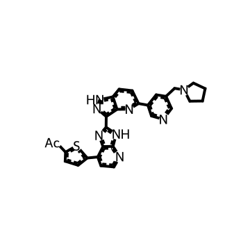 CC(=O)c1ccc(-c2ccnc3[nH]c(-c4n[nH]c5ccc(-c6cncc(CN7CCCC7)c6)nc45)nc23)s1